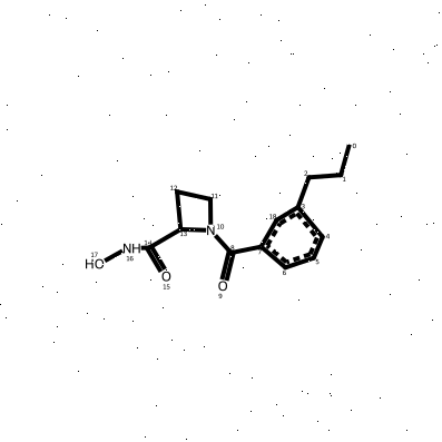 CCCc1cccc(C(=O)N2CCC2C(=O)NO)c1